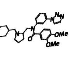 COc1ccc(C(=O)N(CC2CCCN2CC2CCCCC2)c2cccc(-n3ccnn3)c2)cc1OC